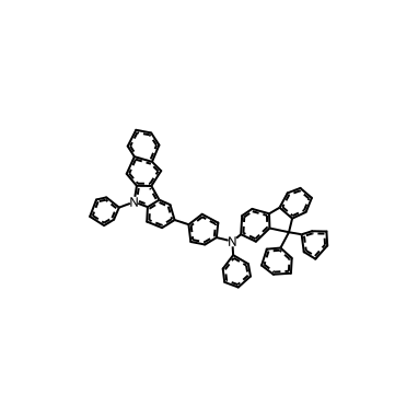 c1ccc(N(c2ccc(-c3ccc4c(c3)c3cc5ccccc5cc3n4-c3ccccc3)cc2)c2ccc3c(c2)C(c2ccccc2)(c2ccccc2)c2ccccc2-3)cc1